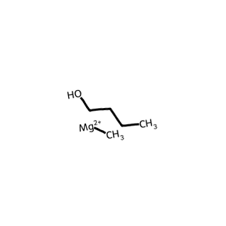 CCCCO.[CH3][Mg+2]